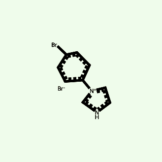 Brc1ccc(-[n+]2cc[nH]c2)cc1.[Br-]